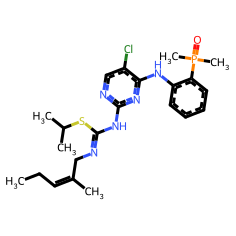 CC/C=C(/C)C/N=C(/Nc1ncc(Cl)c(Nc2ccccc2P(C)(C)=O)n1)SC(C)C